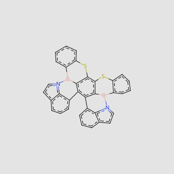 c1ccc2c(c1)Sc1c3c4c(c5c1B2n1ccc2cccc-5c21)-c1cccc2ccn(c12)B4c1ccccc1S3